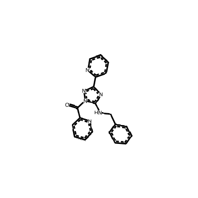 O=C(c1ccccn1)n1nc(-c2ccccn2)nc1NCc1ccccc1